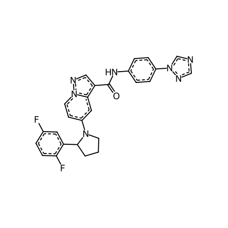 O=C(Nc1ccc(-n2cncn2)cc1)c1cnn2ccc(N3CCCC3c3cc(F)ccc3F)cc12